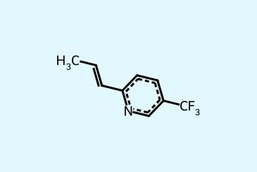 CC=Cc1ccc(C(F)(F)F)cn1